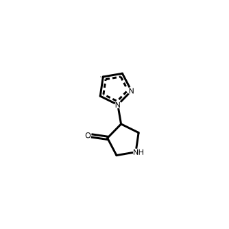 O=C1CNCC1n1c[c]cn1